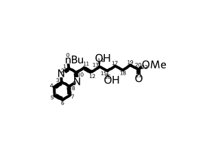 CCCCc1nc2ccccc2nc1/C=C/[C@@H](O)[C@@H](O)CCCC(=O)OC